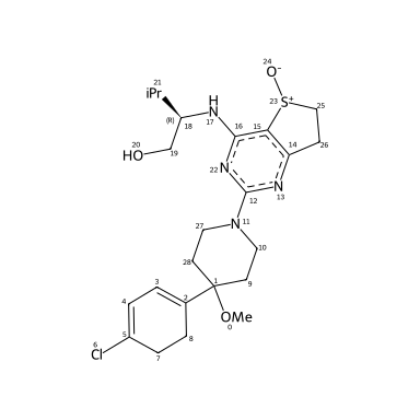 COC1(C2=CC=C(Cl)CC2)CCN(c2nc3c(c(N[C@@H](CO)C(C)C)n2)[S+]([O-])CC3)CC1